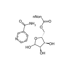 CCCCCCCCCC(=O)OC[C@H]1OC(O)[C@H](O)[C@@H]1O.NC(=O)c1cccnc1